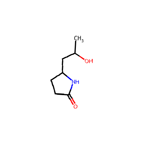 CC(O)CC1CCC(=O)N1